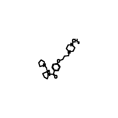 CN1CCN(CCCOc2ccc(C(=O)N3CCC[C@@H]3CN3CCCC3)cc2)CC1